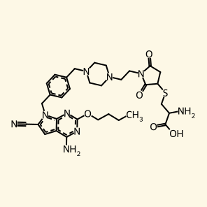 CCCCOc1nc(N)c2cc(C#N)n(Cc3ccc(CN4CCN(CCN5C(=O)CC(SCC(N)C(=O)O)C5=O)CC4)cc3)c2n1